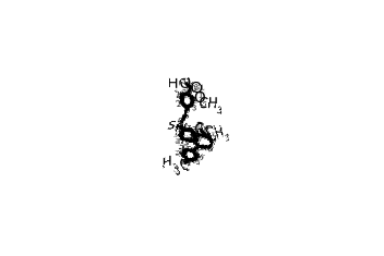 COc1cc(C#C[Se]c2ccc3c(c2)C(C)(C)CC=C3c2ccc(C)cc2)ccc1C(=O)O